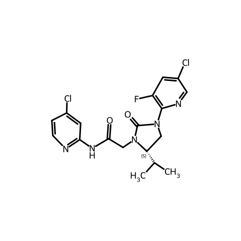 CC(C)[C@H]1CN(c2ncc(Cl)cc2F)C(=O)N1CC(=O)Nc1cc(Cl)ccn1